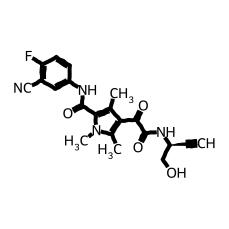 C#C[C@@H](CO)NC(=O)C(=O)c1c(C)c(C(=O)Nc2ccc(F)c(C#N)c2)n(C)c1C